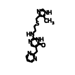 Cc1[nH]cnc1CSCCNc1ncc(Cc2ncccn2)c(=O)[nH]1